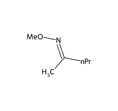 CCC/C(C)=N/OC